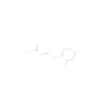 O=C(/C=C/Nc1ccc(Br)cc1I)C(F)(F)F